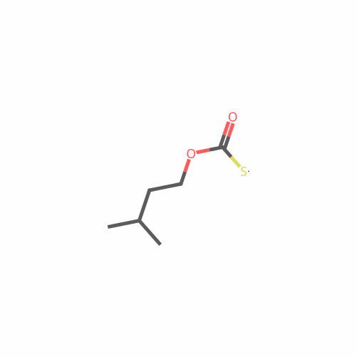 CC(C)CCOC(=O)[S]